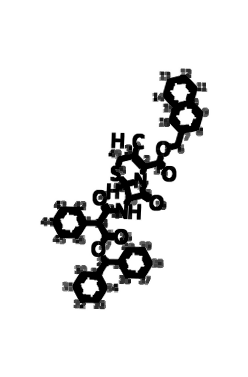 CC1=C(C(=O)OCc2ccc3ccccc3c2)N2C(=O)C(NC(=O)C(C(=O)OC(c3ccccc3)c3ccccc3)c3ccccc3)[C@@H]2SC1